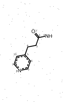 [NH]C(=O)CCc1ccncc1